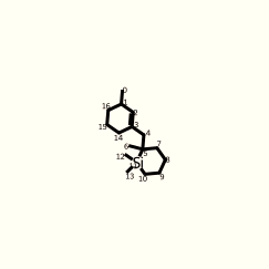 CC1C=C(CC2(C)CCCC[Si]2(C)C)CCC1